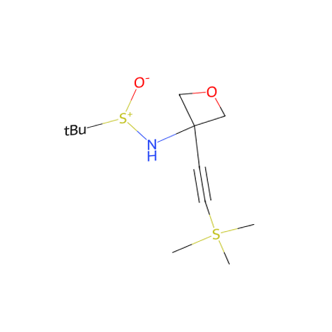 CC(C)(C)[S+]([O-])NC1(C#CS(C)(C)C)COC1